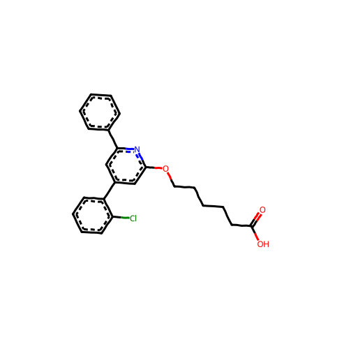 O=C(O)CCCCCOc1cc(-c2ccccc2Cl)cc(-c2ccccc2)n1